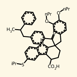 CCCOc1ccc(CC2(C(=O)c3ccc(CC(C)c4ccccc4)cc3)CCC(C(=O)O)c3c2[nH]c2ccc(SC(C)C)cc32)cc1OCCC